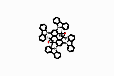 FC(F)(F)c1c(-n2c3ccccc3c3ccccc32)cc(-n2c3ccccc3c3ccccc32)c(C(F)(F)F)c1-c1c(C(F)(F)F)c(-n2c3ccccc3c3ccccc32)cc(-n2c3ccccc3c3ccccc32)c1C(F)(F)F